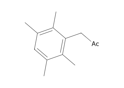 CC(=O)Cc1c(C)c(C)cc(C)c1C